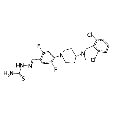 CN(Cc1c(Cl)cccc1Cl)C1CCN(c2cc(F)c(C=NNC(N)=S)cc2F)CC1